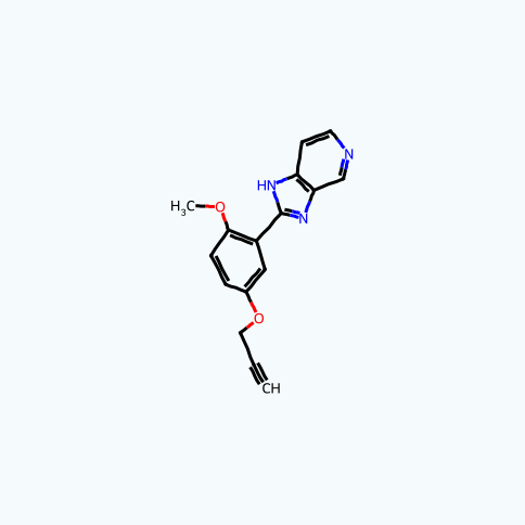 C#CCOc1ccc(OC)c(-c2nc3cnccc3[nH]2)c1